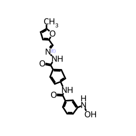 Cc1ccc(/C=N/NC(=O)c2ccc(NC(=O)c3cccc(NO)c3)cc2)o1